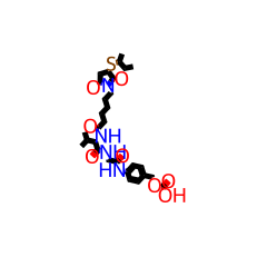 CCC(C)SC1CC(=O)N(CCCCCC(=O)NC(C(=O)NCC(=O)Nc2ccc(COC(=O)O)cc2)C(C)C)C1=O